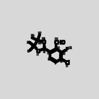 CC1(C)OB(c2ccc(Cl)c(F)c2C=O)OC1(C)C